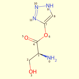 N[C@@H](CO)C(=O)Oc1c[nH]nn1